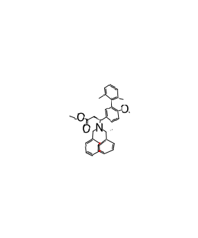 CCOC(=O)C[C@@H](c1ccc(OC)c(-c2c(C)cccc2C)c1)N(Cc1ccccc1)[C@H](C)c1ccccc1